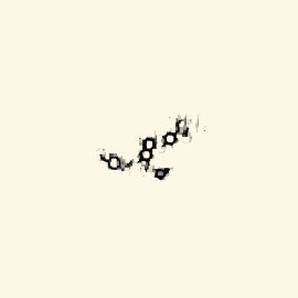 COc1cc2c(Oc3ccc(N(C(C)=O)C(N)=O)cc3F)ccnc2cc1OCCN1CCC(CO)CC1.c1cc2cc-2c1